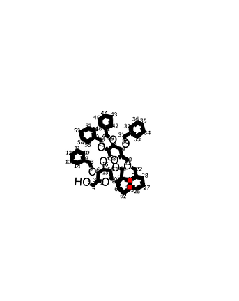 C[C@H]1OC(CO)[C@@H](OCc2ccccc2)[C@H](O[C@H]2OC(COCc3ccccc3)[C@H](OCc3ccccc3)C(OCc3ccccc3)C2OCc2ccccc2)C1OCc1ccccc1